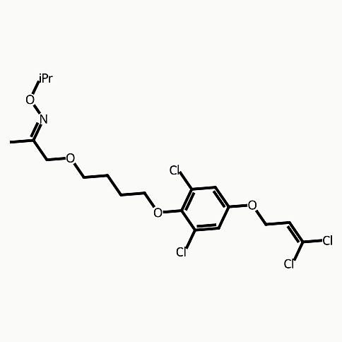 CC(COCCCCOc1c(Cl)cc(OCC=C(Cl)Cl)cc1Cl)=NOC(C)C